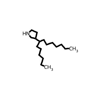 CCCCCCCC(CCCCCC)C1CCNC1